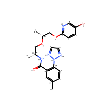 CC[C@H](COc1ccc(Br)cn1)OC[C@@H](C)NC(=O)c1cc(C)ccc1-n1nccn1